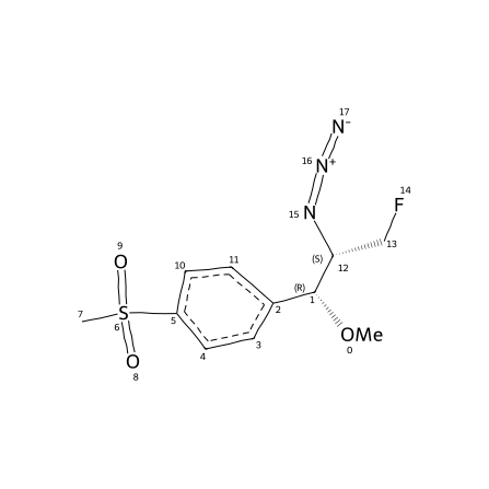 CO[C@H](c1ccc(S(C)(=O)=O)cc1)[C@@H](CF)N=[N+]=[N-]